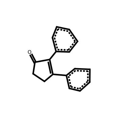 O=C1CCC(c2ccccc2)=C1c1ccccc1